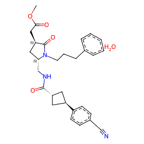 COC(=O)C[C@@H]1C[C@@H](CNC(=O)[C@H]2C[C@H](c3ccc(C#N)cc3)C2)N(CCCc2ccccc2)C1=O.O